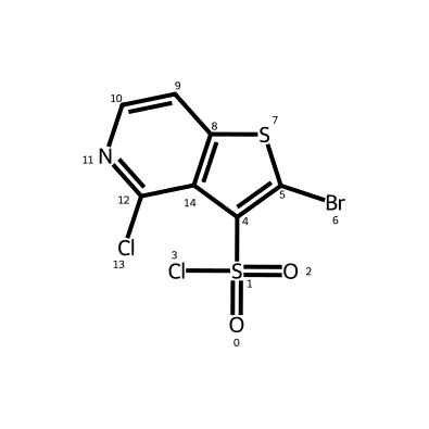 O=S(=O)(Cl)c1c(Br)sc2ccnc(Cl)c12